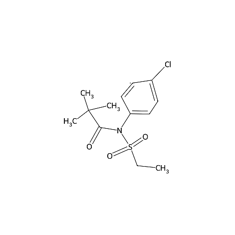 CCS(=O)(=O)N(C(=O)C(C)(C)C)c1c[c]c(Cl)cc1